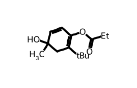 CCC(=O)OC1=C(C(C)(C)C)CC(C)(O)C=C1